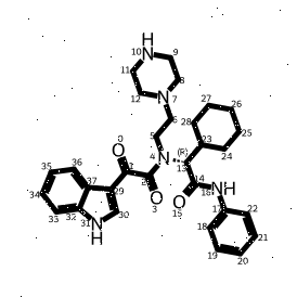 O=C(C(=O)N(CCN1CCNCC1)[C@@H](C(=O)Nc1ccccc1)C1CCCCC1)c1c[nH]c2ccccc12